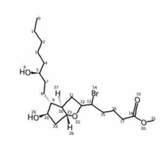 CCCCC[C@H](O)CC[C@@H]1[C@H]2CC(C(Br)CCCC(=O)OC)O[C@@H]2C[C@H]1O